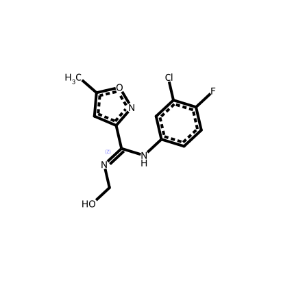 Cc1cc(/C(=N/CO)Nc2ccc(F)c(Cl)c2)no1